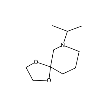 CC(C)N1CCCC2(C1)OCCO2